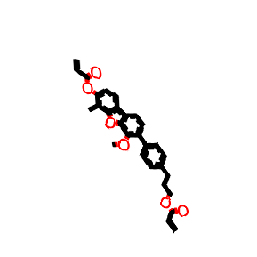 C=CC(=O)OCCCc1ccc(-c2ccc3c(oc4c(C)c(OC(=O)C=C)ccc43)c2OC)cc1